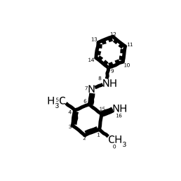 CC1=CC=C(C)/C(=N/Nc2ccccc2)C1=N